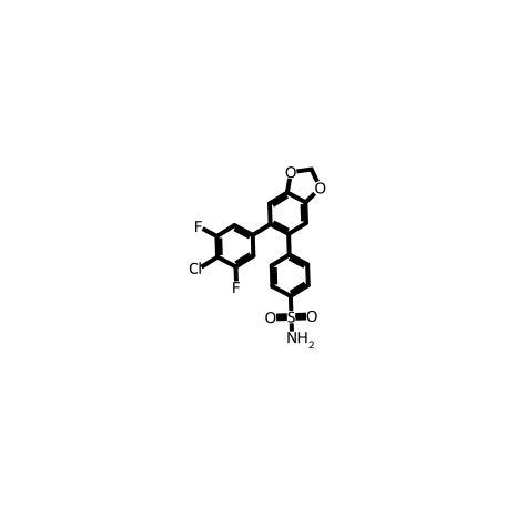 NS(=O)(=O)c1ccc(-c2cc3c(cc2-c2cc(F)c(Cl)c(F)c2)OCO3)cc1